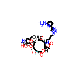 CO[C@@]1(C)C[C@@H](C)C(=O)[C@H](C)[C@H]2N(CCCCn3cc(-c4cccc(N)n4)nn3)C(=O)O[C@@]23C(C)[C@H]3OC(=O)[C@@](C)(F)C(=O)[C@H](C)[C@H]1OC1OC(COC(C)=O)CC(N(C)C)C1O